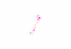 CC1(C)[C@H](NC(=O)c2ccc(OCCCCCOCCCNc3cccc4c3C(=O)N(C3CCC(=O)NC3=O)C4=O)cc2)C(C)(C)[C@H]1Oc1ccc(C#N)c(Cl)c1